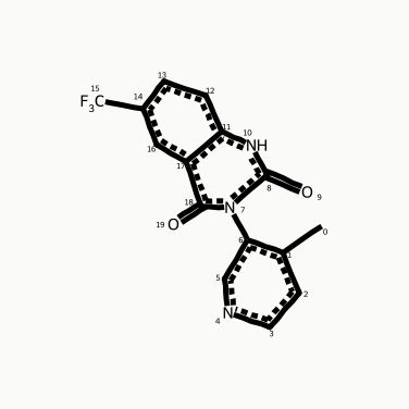 Cc1ccncc1-n1c(=O)[nH]c2ccc(C(F)(F)F)cc2c1=O